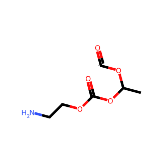 CC(O[C]=O)OC(=O)OCCN